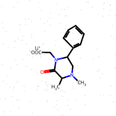 CC1C(=O)N(CC(=O)[O-])C(c2ccccc2)CN1C.[Li+]